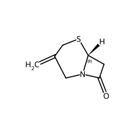 C=C1CS[C@@H]2CC(=O)N2C1